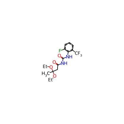 CCOC(C)(CC(=O)NC(=O)Nc1c(F)cccc1C(F)(F)F)OCC